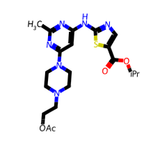 CC(=O)OCCN1CCN(c2cc(Nc3ncc(C(=O)OC(C)C)s3)nc(C)n2)CC1